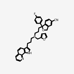 N#Cc1ccc2c(c1)COC2(CCCN(CCCc1c[nH]c2c1ccc1cccnc12)Cc1ccco1)c1ccc(F)cc1